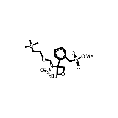 COS(=O)(=O)Cc1ccccc1C1(N(COCC[Si](C)(C)C)[S+]([O-])C(C)(C)C)COC1